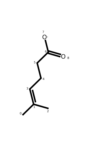 CC(C)=CCCC([O])=O